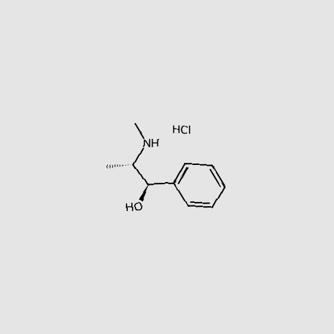 CN[C@@H](C)[C@H](O)c1ccccc1.Cl